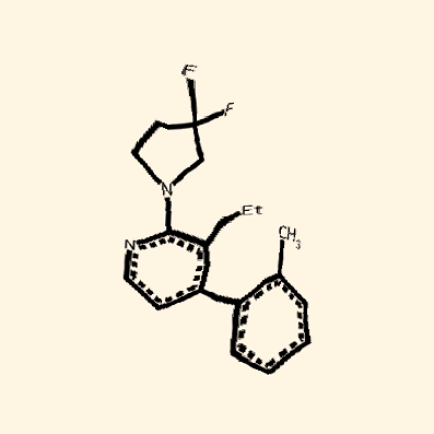 CCc1c(-c2ccccc2C)ccnc1N1CCC(F)(F)C1